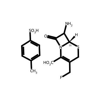 Cc1ccc(S(=O)(=O)O)cc1.NC1C(=O)N2C(C(=O)O)=C(CF)CS[C@@H]12